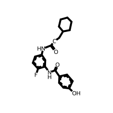 O=C(CCC1CCCCC1)Nc1ccc(F)c(NC(=O)c2ccc(O)cc2)c1